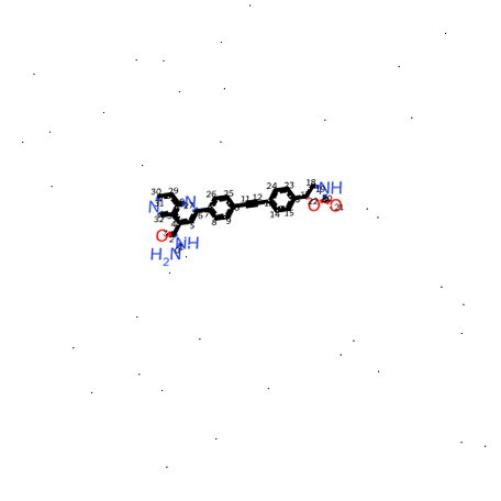 NNC(=O)c1cc(-c2ccc(C#Cc3ccc(C4CNC(=O)O4)cc3)cc2)nc2ccncc12